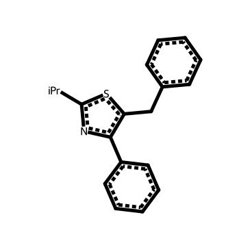 CC(C)c1nc(-c2ccccc2)c(Cc2ccccc2)s1